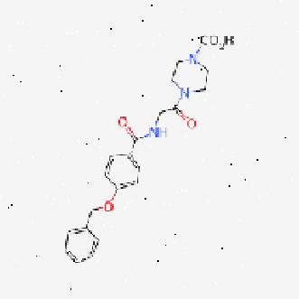 O=C(NCC(=O)N1CCN(C(=O)O)CC1)c1ccc(OCc2ccccc2)cc1